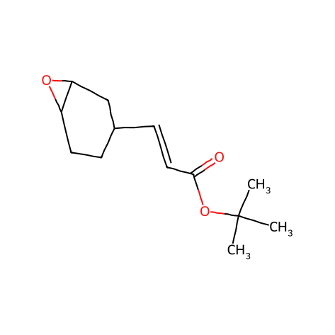 CC(C)(C)OC(=O)/C=C/C1CCC2OC2C1